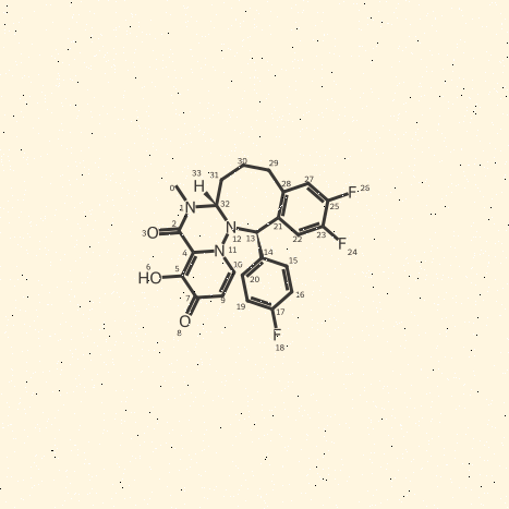 CN1C(=O)c2c(O)c(=O)ccn2N2[C@H](c3ccc(F)cc3)c3cc(F)c(F)cc3CCC[C@@H]12